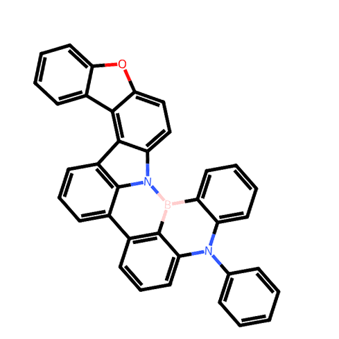 c1ccc(N2c3ccccc3B3c4c(cccc42)-c2cccc4c5c6c(ccc5n3c24)oc2ccccc26)cc1